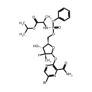 CC(C)OC(=O)[C@@H](C)N[P@](=O)(OC[C@H]1O[C@@H](Oc2ncc(Br)nc2C(N)=O)[C@](C)(F)[C@@H]1O)Oc1ccccc1